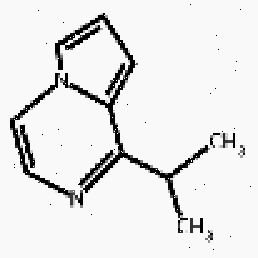 CC(C)c1nccn2cccc12